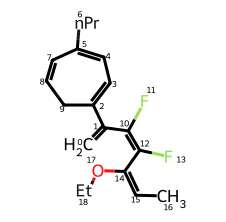 C=C(C1=CC=C(CCC)C=CC1)/C(F)=C(F)\C(=C/C)OCC